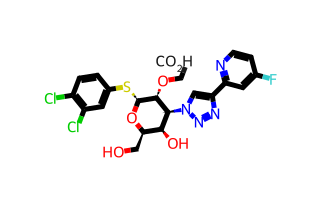 O=C(O)CO[C@@H]1[C@@H](n2cc(-c3cc(F)ccn3)nn2)[C@@H](O)[C@@H](CO)O[C@@H]1Sc1ccc(Cl)c(Cl)c1